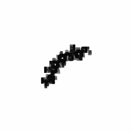 O=C(Cc1ccc(-c2cnc3[nH]c(-c4cnn(C(F)F)c4)cc3c2)c(F)c1)Nc1cncc(C(F)(F)F)c1